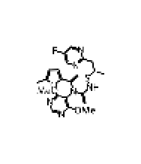 C=C(NS[C@H](C)Cc1ncc(F)cn1)N(C(=C)c1ccc(C)o1)c1c(OC)ncnc1OC